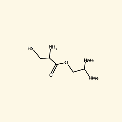 CNC(COC(=O)C(N)CS)NC